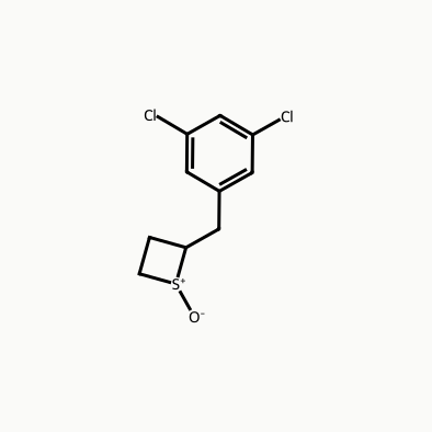 [O-][S+]1CCC1Cc1cc(Cl)cc(Cl)c1